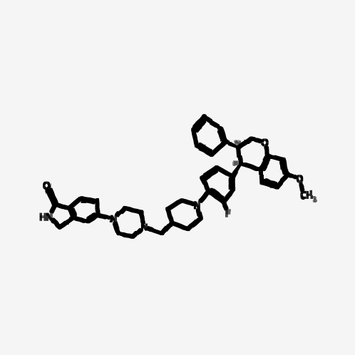 COc1ccc2c(c1)OC[C@H](c1ccccc1)[C@@H]2c1ccc(N2CCC(CN3CCN(c4ccc5c(c4)CNC5=O)CC3)CC2)c(F)c1